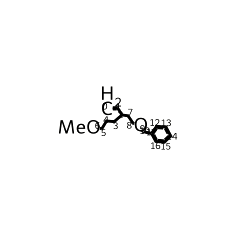 C=CC(CCCOC)CCOCc1ccccc1